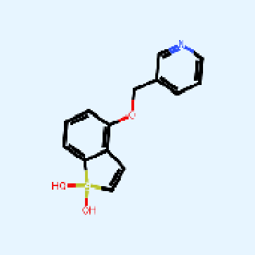 OS1(O)C=Cc2c(OCc3cccnc3)cccc21